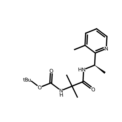 Cc1cccnc1[C@@H](C)NC(=O)C(C)(C)NC(=O)OC(C)(C)C